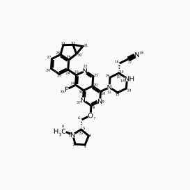 CN1CCC[C@H]1COc1nc(N2CCN[C@@H](CC#N)C2)c2cnc(-c3cccc4c3C3CC3C4)c(F)c2n1